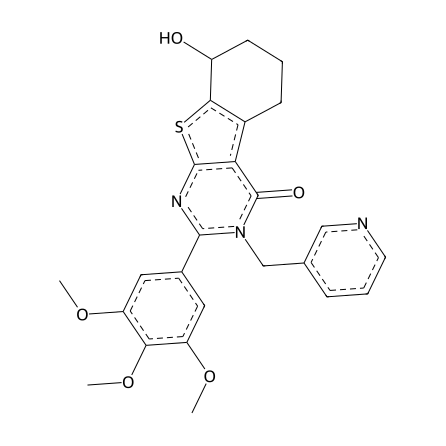 COc1cc(-c2nc3sc4c(c3c(=O)n2Cc2cccnc2)CCCC4O)cc(OC)c1OC